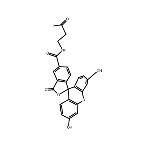 O=C(I)CCNC(=O)c1ccc2c(c1)C(=O)OC21c2ccc(O)cc2Oc2cc(O)ccc21